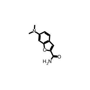 CN(C)c1ccc2cc(C(N)=O)oc2c1